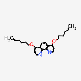 C=CCCCCOc1ccnc2c1ccc1c(OCCCCC=C)ccnc12